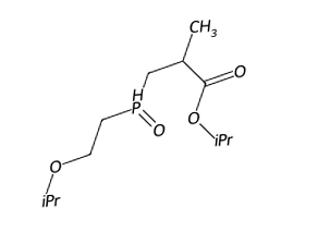 CC(C)OCC[PH](=O)CC(C)C(=O)OC(C)C